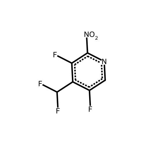 O=[N+]([O-])c1ncc(F)c(C(F)F)c1F